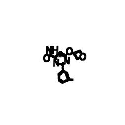 Cc1cccc(-c2nc(OC3COC3)cc(C(N)=O)n2)c1